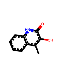 Cc1c(O)c(=O)[nH]c2ccccc12